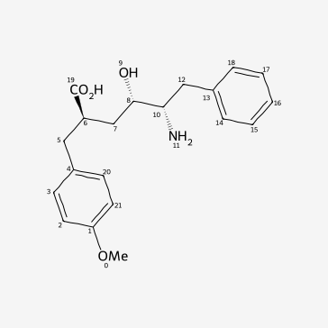 COc1ccc(C[C@H](C[C@H](O)[C@@H](N)Cc2ccccc2)C(=O)O)cc1